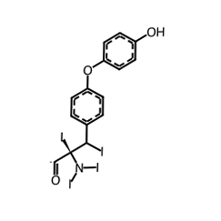 O=[C][C@](I)(C(I)c1ccc(Oc2ccc(O)cc2)cc1)N(I)I